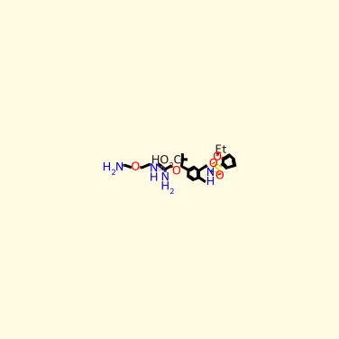 CCOc1ccccc1S(=O)(=O)NCc1cc(C(OC/C(N)=C/NCCOCCN)C(C)(C)C(=O)O)ccc1C